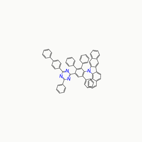 c1ccc(-c2ccc(-c3nc(-c4ccccc4)nc(-c4cc(-c5ccccc5)c(-n5c6cc7ccccc7cc6c6ccc7ccccc7c65)c(-c5ccccc5)c4-c4ccccc4)n3)cc2)cc1